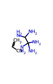 C=CC#N.NC(N)C(N)(N)N